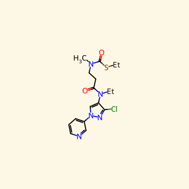 CCSC(=O)N(C)CCC(=O)N(CC)c1cn(-c2cccnc2)nc1Cl